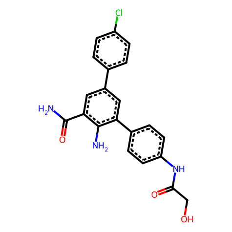 NC(=O)c1cc(-c2ccc(Cl)cc2)cc(-c2ccc(NC(=O)CO)cc2)c1N